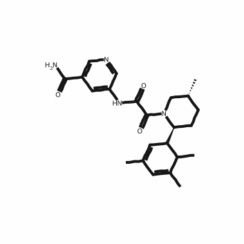 CC1=CC([C@@H]2CC[C@@H](C)CN2C(=O)C(=O)Nc2cncc(C(N)=O)c2)C(C)C(C)=C1